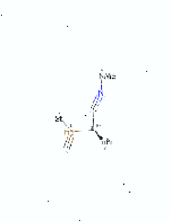 C#[SH](CC)[C@@H](C#[N+]NC)CCC